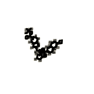 CC(C)(C)OC(=O)N1CCc2sc(CN[N+]3(S(=O)(=O)c4ccc5cc(Cl)ccc5c4)CCCC3)cc2C1